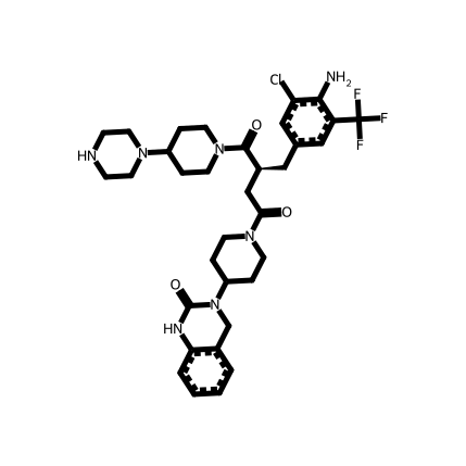 Nc1c(Cl)cc(C[C@@H](CC(=O)N2CCC(N3Cc4ccccc4NC3=O)CC2)C(=O)N2CCC(N3CCNCC3)CC2)cc1C(F)(F)F